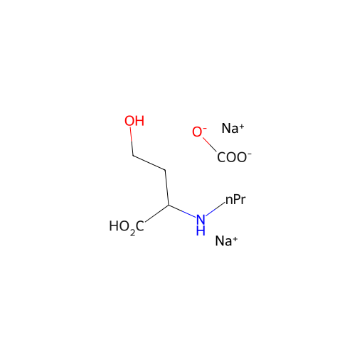 CCCNC(CCO)C(=O)O.O=C([O-])[O-].[Na+].[Na+]